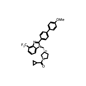 COc1ccc(-c2ccc(-c3nc4c(C(F)(F)F)cccc4n3C[C@@H]3CCN(C(=O)C4CC4)C3)cc2)cc1